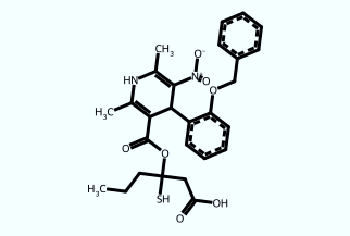 CCCC(S)(CC(=O)O)OC(=O)C1=C(C)NC(C)=C([N+](=O)[O-])C1c1ccccc1OCc1ccccc1